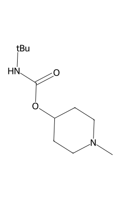 CN1CCC(OC(=O)NC(C)(C)C)CC1